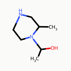 CC(O)N1CCNCC1C